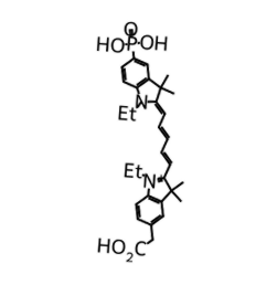 CCN1\C(=C/C=C/C=C/C2=[N+](CC)c3ccc(CC(=O)O)cc3C2(C)C)C(C)(C)c2cc(P(=O)(O)O)ccc21